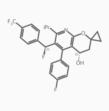 CC(C)c1nc2c(c(-c3ccc(F)cc3)c1[C@@H](F)c1ccc(C(F)(F)F)cc1)[C@@H](O)CC1(CC1)O2